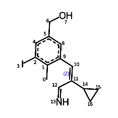 Cc1c(I)cc(CO)cc1/C=C(\C=N)C1CC1